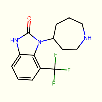 O=c1[nH]c2cccc(C(F)(F)F)c2n1C1CCCNCC1